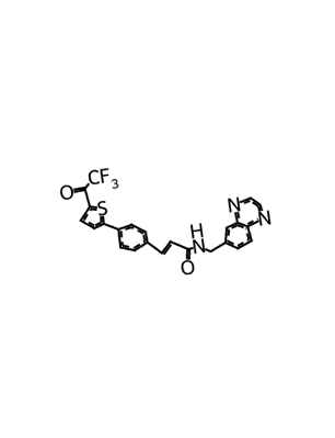 O=C(C=Cc1ccc(-c2ccc(C(=O)C(F)(F)F)s2)cc1)NCc1ccc2nccnc2c1